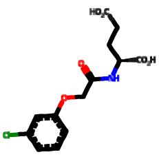 O=C(O)CC[C@H](NC(=O)COc1cccc(Cl)c1)C(=O)O